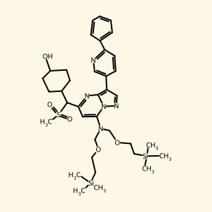 C[Si](C)(C)CCOCN(COCC[Si](C)(C)C)c1cc(C(C2CCC(O)CC2)S(C)(=O)=O)nc2c(-c3ccc(-c4ccccc4)nc3)cnn12